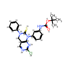 CC(C)(C)OC(=O)Nc1cccc(N2C(=S)N(c3ccccc3)Cc3cnc(Cl)nc32)c1